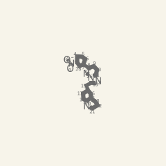 O=[N+]([O-])c1cccc(-c2ccc3ncc(Cc4ccc5ncccc5c4)n3n2)c1